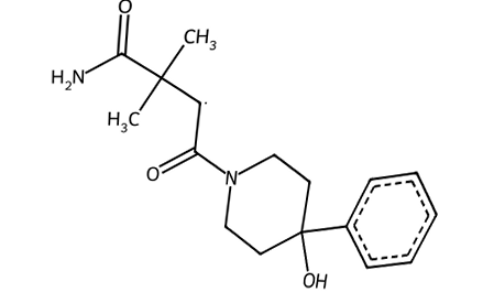 CC(C)([CH]C(=O)N1CCC(O)(c2ccccc2)CC1)C(N)=O